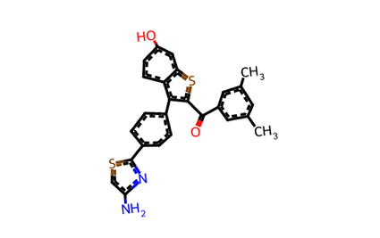 Cc1cc(C)cc(C(=O)c2sc3cc(O)ccc3c2-c2ccc(-c3nc(N)cs3)cc2)c1